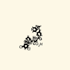 Cc1nc2cnccc2n1CC1CCN(C(=O)NC[C@H](NC(=O)[C@@H]2CCCN2S(=O)(=O)c2cc(Cl)cc(Cl)c2)C(=O)O)CC1